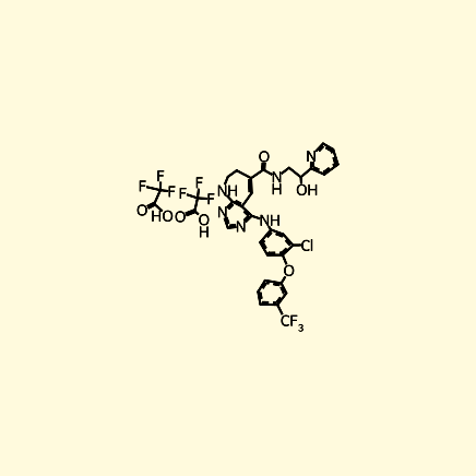 O=C(NCC(O)c1ccccn1)C1=Cc2c(ncnc2Nc2ccc(Oc3cccc(C(F)(F)F)c3)c(Cl)c2)NCC1.O=C(O)C(F)(F)F.O=C(O)C(F)(F)F